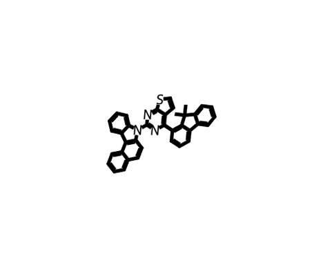 CC1(C)c2ccccc2-c2cccc(-c3nc(-n4c5ccccc5c5c6ccccc6ccc54)nc4sccc34)c21